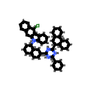 Clc1c2ccccc2cc2c1c1ccccc1n2-c1cccc2ccc(-c3nc(-c4ccccc4)nc(-c4cc5ccccc5c5ccccc45)n3)cc12